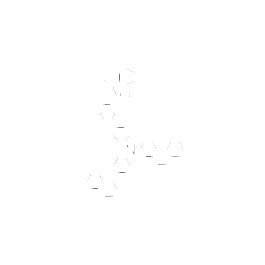 Cc1c(-c2cccc(-c3ccc(N(c4ccc(-c5cccc6ccccc56)cc4)c4ccc5c(ccc6ccccc65)c4)cc3)c2)oc2ccccc12